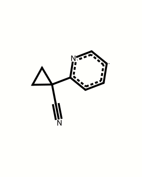 N#CC1(c2cc[c]cn2)CC1